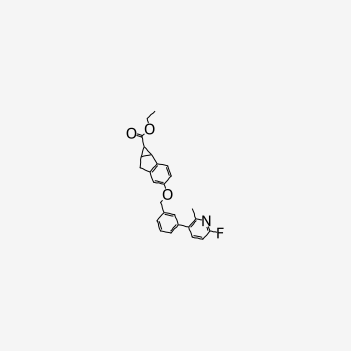 CCOC(=O)C1C2Cc3cc(OCc4cccc(-c5ccc(F)nc5C)c4)ccc3C21